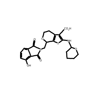 O=C(O)c1c(NC2CCCCO2)sc2c1CCOC2CN1C(=O)c2cccc(O)c2C1=O